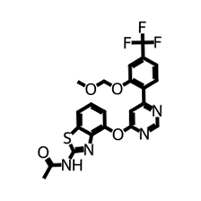 COCOc1cc(C(F)(F)F)ccc1-c1cc(Oc2cccc3sc(NC(C)=O)nc23)ncn1